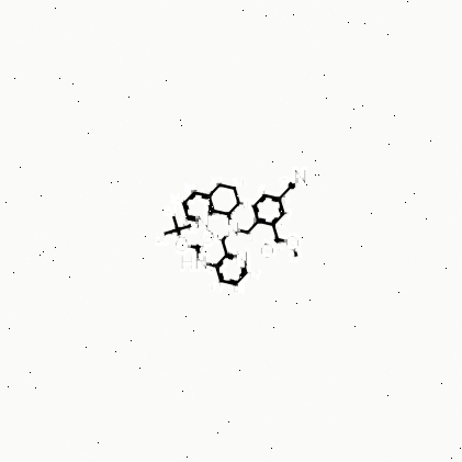 COC(=O)c1cc(C#N)ccc1CN(Cc1ncccc1NC(=O)OC(C)(C)C)C1CCCc2cccnc21